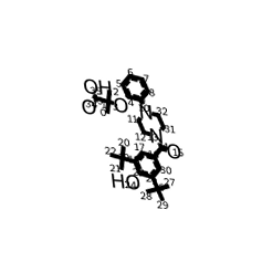 CC(C)(Oc1ccccc1N1CCN(C(=O)c2cc(C(C)(C)C)c(O)c(C(C)(C)C)c2)CC1)C(=O)O